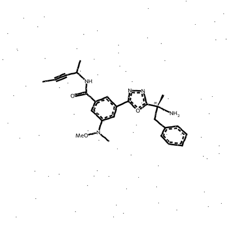 CC#CC(C)NC(=O)c1cc(-c2nnc([C@](C)(N)Cc3ccccc3)o2)cc(N(C)OC)c1